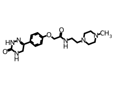 CN1CCN(CCNC(=O)COc2ccc(C3=NNC(=O)NC3)cc2)CC1